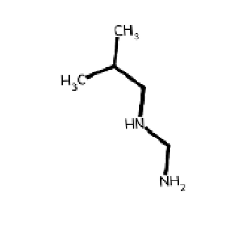 CC(C)CNCN